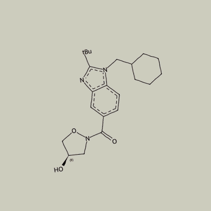 CC(C)(C)c1nc2cc(C(=O)N3C[C@@H](O)CO3)ccc2n1CC1CCCCC1